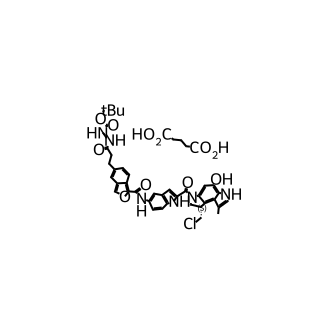 Cc1c[nH]c2c(O)cc3c(c12)[C@H](CCl)CN3C(=O)c1cc2cc(NC(=O)c3occ4cc(CCC(=O)NNC(=O)OC(C)(C)C)ccc34)ccc2[nH]1.O=C(O)CCCC(=O)O